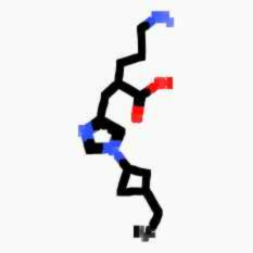 CCC1CC(n2cnc(CC(CCCN)C(=O)O)c2)C1